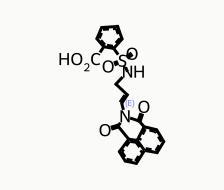 O=C(O)c1ccccc1S(=O)(=O)NC/C=C/N1C(=O)c2cccc3cccc(c23)C1=O